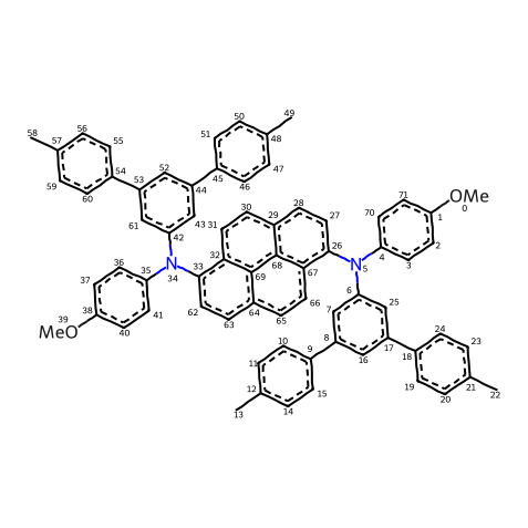 COc1ccc(N(c2cc(-c3ccc(C)cc3)cc(-c3ccc(C)cc3)c2)c2ccc3ccc4c(N(c5ccc(OC)cc5)c5cc(-c6ccc(C)cc6)cc(-c6ccc(C)cc6)c5)ccc5ccc2c3c54)cc1